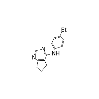 CCc1ccc(Nc2ncnc3c2CCC3)cc1